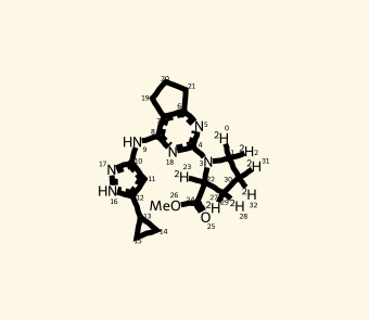 [2H]C1([2H])N(c2nc3c(c(Nc4cc(C5CC5)[nH]n4)n2)CCC3)C([2H])(C(=O)OC)C([2H])([2H])C1([2H])[2H]